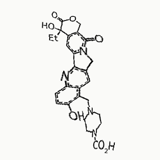 CC[C@@]1(O)C(=O)OCc2c1cc1n(c2=O)Cc2cc3c(CN4CCN(C(=O)O)CC4)c(O)ccc3nc2-1